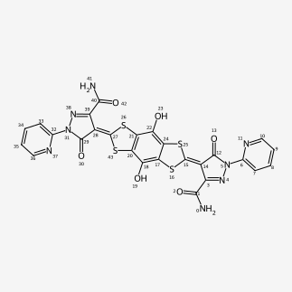 NC(=O)C1=NN(c2ccccn2)C(=O)C1=C1Sc2c(O)c3c(c(O)c2S1)SC(=C1C(=O)N(c2ccccn2)N=C1C(N)=O)S3